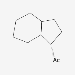 CC(=O)[C@H]1CCC2CCCCC21